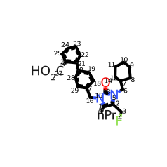 CCCc1c(CF)n(CC2CCCCC2)c(=O)n1Cc1ccc(-c2ccccc2C(=O)O)cc1